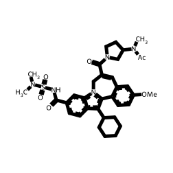 COc1ccc2c(c1)C=C(C(=O)N1CCC(N(C)C(C)=O)C1)Cn1c-2c(C2CCCCC2)c2ccc(C(=O)NS(=O)(=O)N(C)C)cc21